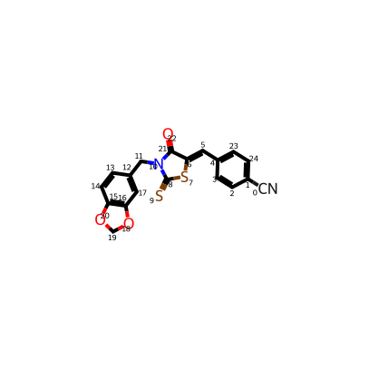 N#Cc1ccc(C=C2SC(=S)N(Cc3ccc4c(c3)OCO4)C2=O)cc1